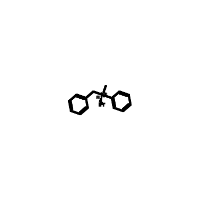 CC(C)[N@+](C)(Cc1ccccc1)c1ccccc1